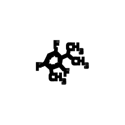 Cc1c(F)cc(F)c(C(C)C)c1F